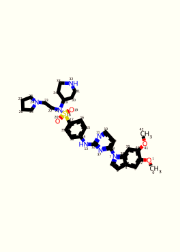 COc1cc2ccn(-c3ccnc(Nc4ccc(S(=O)(=O)N(CCN5CCCC5)C5CCNCC5)cc4)n3)c2cc1OC